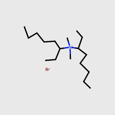 CCCCCC(CC)[N+](C)(C)C(CC)CCCCC.[Br-]